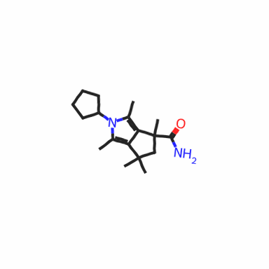 Cc1c2c(c(C)n1C1CCCC1)C(C)(C(N)=O)CC2(C)C